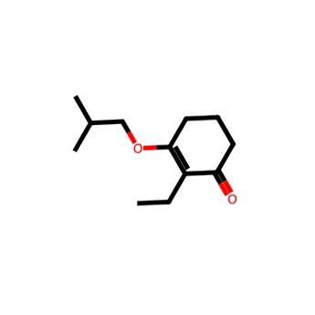 CCC1=C(OCC(C)C)CCCC1=O